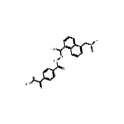 CCN(CC)Cc1cccc2c(C(C)ONC(=O)c3ccc(C(=O)NO)cc3)cccc12